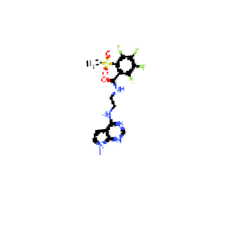 CS(=O)(=O)c1c(F)c(F)c(F)c(F)c1C(=O)NCCNc1ncnc2[nH]ccc12